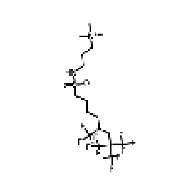 C[N+](C)(C)CCCNS(=O)(=O)CCCCC(CC(C(F)(F)F)(C(F)(F)F)C(F)(F)F)C(F)(F)F